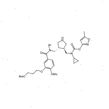 COCCCOc1cc(C(=O)N(C[C@@H]2CNC[C@H]2CN(C(=O)Oc2cc(C)on2)C2CC2)C(C)C)ccc1OC